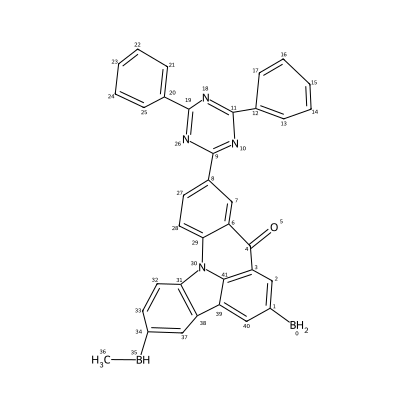 Bc1cc2c(=O)c3cc(-c4nc(-c5ccccc5)nc(-c5ccccc5)n4)ccc3n3c4ccc(BC)cc4c(c1)c23